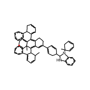 CC1C=CC=C(c2ccccc2)C1C1=C2C=C(C3=CCC(C4Nc5ccccc5N4C4(C)C=CC=CC4)C=C3)CCC2=C(C2=CC=CCC2c2ccccc2)C2=CCCCC21C